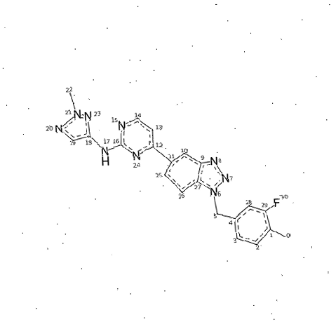 Cc1ccc(Cn2nnc3cc(-c4ccnc(Nc5cnn(C)n5)n4)ccc32)cc1F